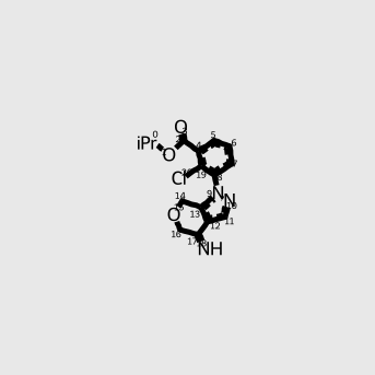 CC(C)OC(=O)c1cccc(-n2ncc3c2COCC3=N)c1Cl